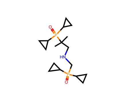 CC(C)(CNCP(=O)(C1CC1)C1CC1)P(=O)(C1CC1)C1CC1